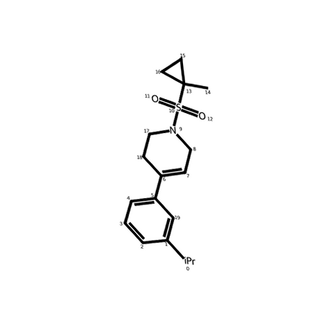 CC(C)c1cccc(C2=CCN(S(=O)(=O)C3(C)CC3)CC2)c1